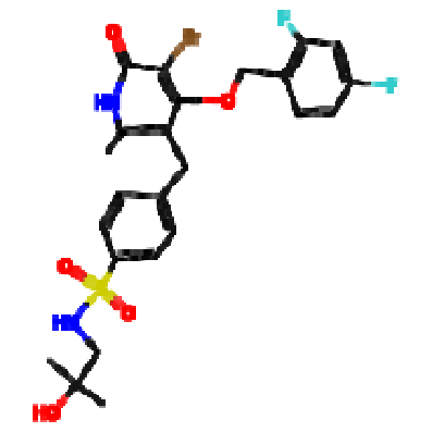 Cc1[nH]c(=O)c(Br)c(OCc2ccc(F)cc2F)c1Cc1ccc(S(=O)(=O)NCC(C)(C)O)cc1